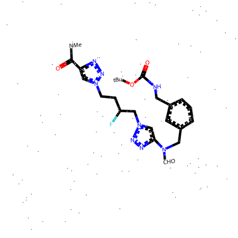 CNC(=O)c1cn(CCC(F)Cn2cc(N(C=O)Cc3cccc(CNC(=O)OC(C)(C)C)c3)nn2)nn1